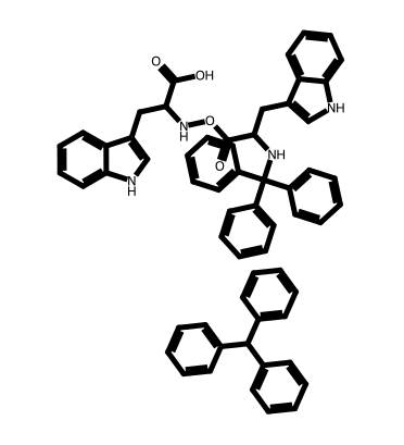 O=C(O)C(Cc1c[nH]c2ccccc12)NOC(=O)C(Cc1c[nH]c2ccccc12)NC(c1ccccc1)(c1ccccc1)c1ccccc1.c1ccc(C(c2ccccc2)c2ccccc2)cc1